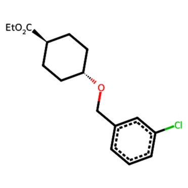 CCOC(=O)[C@H]1CC[C@H](OCc2cccc(Cl)c2)CC1